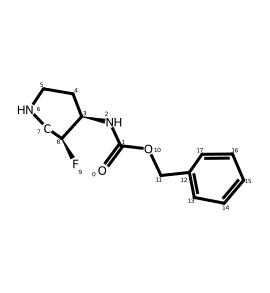 O=C(N[C@@H]1CCNC[C@@H]1F)OCc1ccccc1